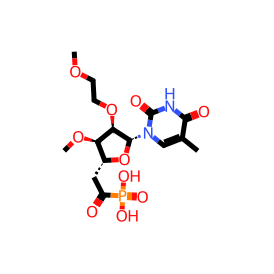 COCCO[C@@H]1[C@H](OC)[C@@H](CC(=O)P(=O)(O)O)O[C@H]1n1cc(C)c(=O)[nH]c1=O